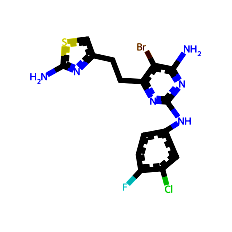 Nc1nc(CCc2nc(Nc3ccc(F)c(Cl)c3)nc(N)c2Br)cs1